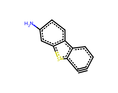 Nc1ccc2c(c1)sc1c#cccc12